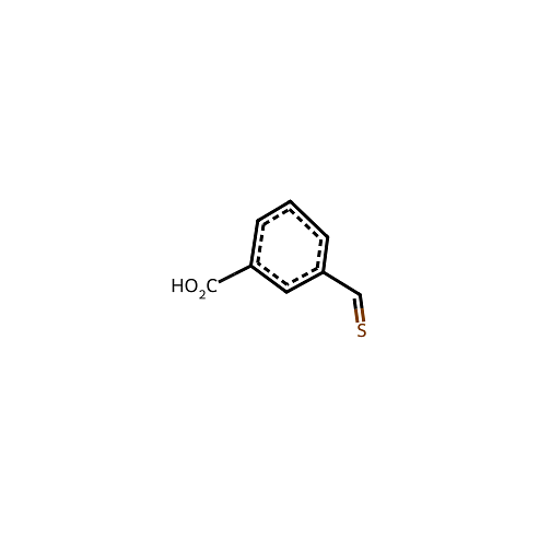 O=C(O)c1cccc(C=S)c1